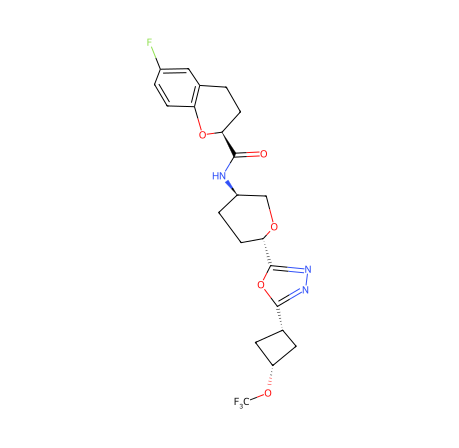 O=C(N[C@@H]1CC[C@@H](c2nnc([C@H]3C[C@@H](OC(F)(F)F)C3)o2)OC1)[C@@H]1CCc2cc(F)ccc2O1